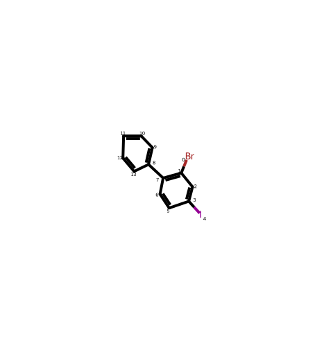 Brc1cc(I)ccc1-c1ccccc1